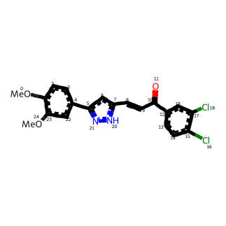 COc1ccc(-c2cc(C=CC(=O)c3ccc(Cl)c(Cl)c3)[nH]n2)cc1OC